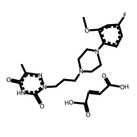 COc1cc(F)ccc1N1CCN(CCCn2nc(C)c(=O)[nH]c2=O)CC1.O=C(O)/C=C/C(=O)O